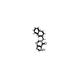 O=c1c2[nH]cnc2ncn1Cc1ccc2ccccc2c1